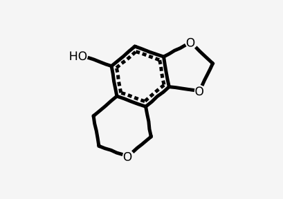 Oc1cc2c(c3c1CCOC3)OCO2